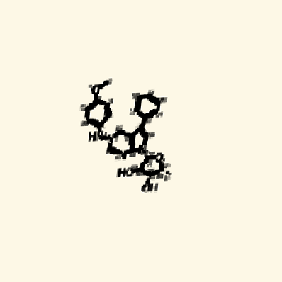 COc1ccc(NN2C=Nc3c(c(-c4ccccc4)cn3[C@@H]3O[C@H](C)[C@@H](O)[C@H]3O)C2)cc1